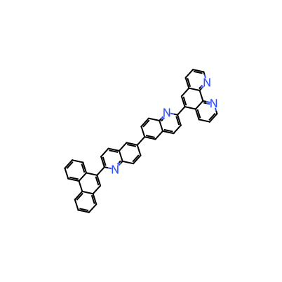 c1ccc2c(c1)cc(-c1ccc3cc(-c4ccc5nc(-c6cc7cccnc7c7ncccc67)ccc5c4)ccc3n1)c1ccccc12